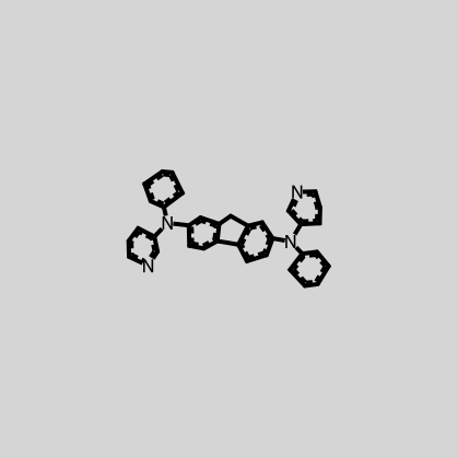 c1ccc(N(c2cccnc2)c2ccc3c(c2)Cc2cc(N(c4ccccc4)c4cccnc4)ccc2-3)cc1